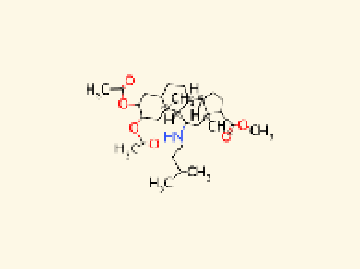 COC(=O)C1CC[C@H]2[C@@H]3CCC4CC(OC(C)=O)C(OC(C)=O)C[C@]4(C)[C@@H]3C(NCCC(C)C)C[C@]12C